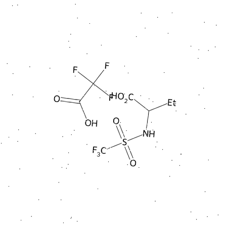 CCC(NS(=O)(=O)C(F)(F)F)C(=O)O.O=C(O)C(F)(F)F